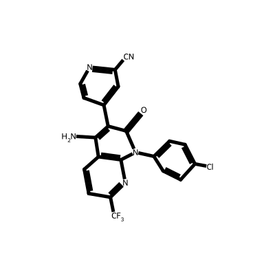 N#Cc1cc(-c2c(N)c3ccc(C(F)(F)F)nc3n(-c3ccc(Cl)cc3)c2=O)ccn1